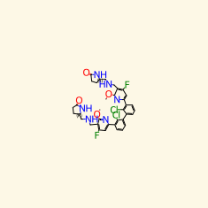 COc1nc(-c2cccc(-c3cccc(-c4cc(F)c(CNC[C@H]5CCC(=O)N5)c(OC)n4)c3Cl)c2Cl)cc(F)c1CNC[C@H]1CCC(=O)N1